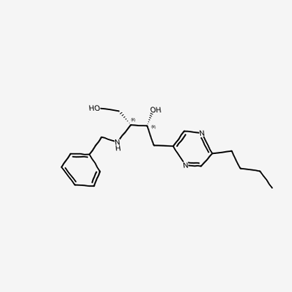 CCCCc1cnc(C[C@@H](O)[C@@H](CO)NCc2ccccc2)cn1